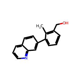 Cc1c(CO)cccc1-c1ccc2cccnc2c1